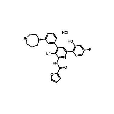 Cl.N#Cc1c(-c2cccc(N3CCCNCC3)c2)cc(-c2ccc(F)cc2O)nc1NC(=O)c1ccco1